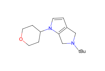 CC(C)(C)N1Cc2ccn(C3CCOCC3)c2C1